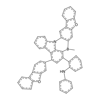 CB1c2cc3oc4ccccc4c3cc2-n2c3ccccc3c3c(-c4ccc5c(c4)oc4ccccc45)cc(-c4ccccc4Nc4ccccc4)c1c32